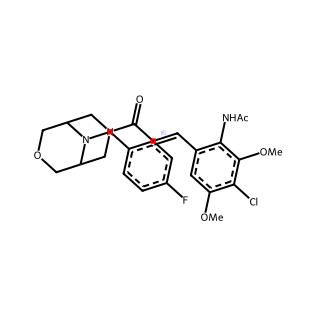 COc1cc(/C=C/C(=O)N2CC3COCC(C2)N3Cc2ccc(F)cc2)c(NC(C)=O)c(OC)c1Cl